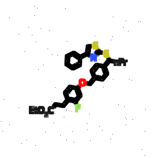 CCCC(Sc1nc(-c2ccccc2)cs1)c1ccc(COc2ccc(CCC(=O)OCC)c(F)c2)cc1